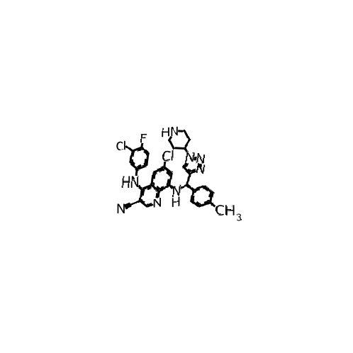 Cc1ccc(C(Nc2cc(Cl)cc3c(Nc4ccc(F)c(Cl)c4)c(C#N)cnc23)c2cn(C3CCNCC3)nn2)cc1